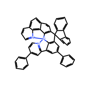 c1ccc(-c2cc3c4c(c2)C2(c5ccccc5-c5ccccc52)c2ccc5ccc6ccc[n+]7c6c5c2[N+]47[n+]2ccc(-c4ccccc4)cc2-3)cc1